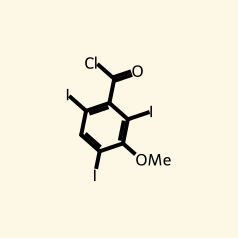 COc1c(I)cc(I)c(C(=O)Cl)c1I